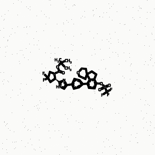 CC(C)(C)OC(=O)N1CC(F)(F)C[C@H]1c1nc(-c2ccc(-c3ccc(OS(=O)(=O)C(F)(F)F)c4c3C3(CCOCC3)CC4)cc2)c[nH]1